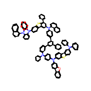 c1ccc(-c2cc(-c3ccc(N(c4cc(-c5ccccc5)c5sc6cc(N(c7ccccc7)c7ccccc7N(c7ccccc7)c7cccc8ccccc78)ccc6c5c4)c4cccc5ccccc45)cc3)cc(-c3cccc(N(c4ccccc4)c4ccc(N(c5ccc6c(c5)oc5ccccc56)c5ccc6c(c5)sc5ccc(N(c7ccccc7)c7ccccc7)cc56)cc4)c3)c2)cc1